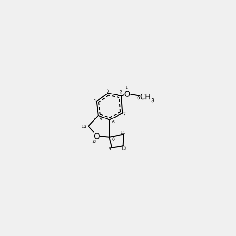 COc1ccc2c(c1)C1(CCC1)OC2